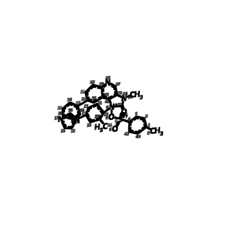 Cc1ccc(S(=O)(=O)O[N+]2(c3ccc(-n4ccnc4)cc3C)C(=O)N(C)c3cnc4ccc(-c5cccnc5)cc4c32)cc1